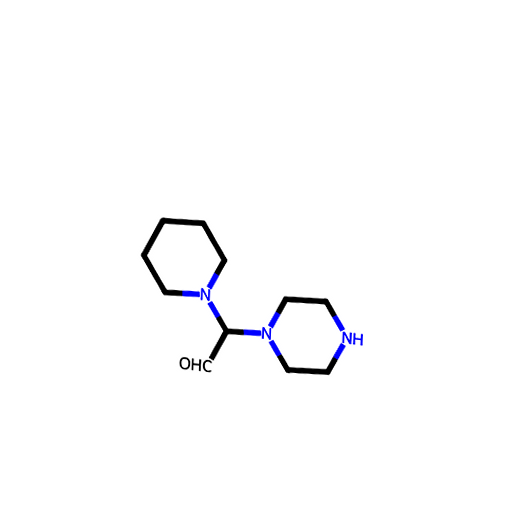 O=CC(N1CCCCC1)N1CCNCC1